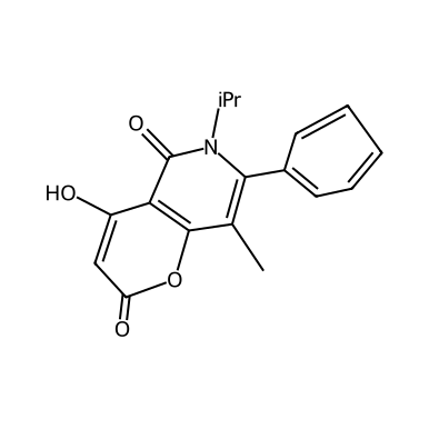 Cc1c(-c2ccccc2)n(C(C)C)c(=O)c2c(O)cc(=O)oc12